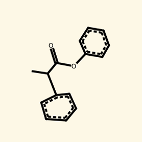 CC(C(=O)Oc1ccccc1)c1ccccc1